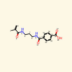 C=C(C)C(=O)NCCCNC(=O)c1ccc(C(=O)O)cc1